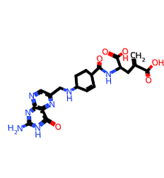 C=C(CC(NC(=O)C1C=CC(NCc2cnc3nc(N)[nH]c(=O)c3n2)CC1)C(=O)O)C(=O)O